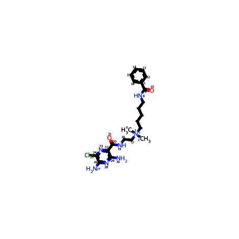 C[N+](C)(CCCCCNC(=O)c1ccccc1)CCNC(=O)c1nc(Cl)c(N)nc1N